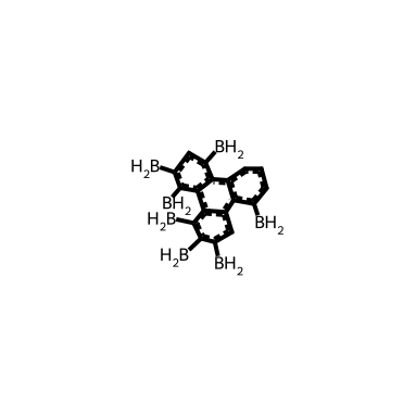 Bc1cc2c3c(B)cccc3c3c(B)cc(B)c(B)c3c2c(B)c1B